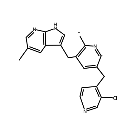 Cc1cnc2[nH]cc(Cc3cc(Cc4ccncc4Cl)[c]nc3F)c2c1